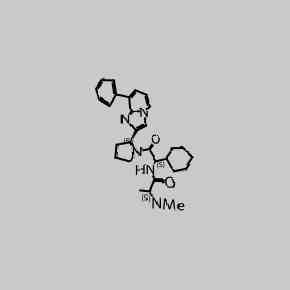 CN[C@@H](C)C(=O)N[C@H](C(=O)N1CCC[C@H]1c1cn2cccc(-c3ccccc3)c2n1)C1CCCCC1